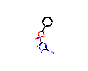 Nc1nc(P2(=O)OC(c3ccccc3)O2)n[nH]1